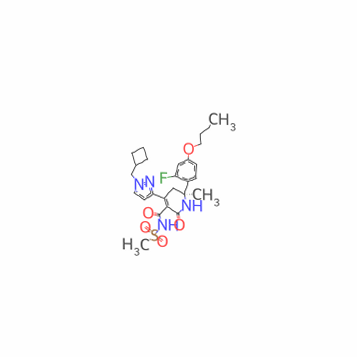 CCCCOc1ccc([C@]2(C)CC(c3ccn(CC4CCC4)n3)=C(C(=O)NS(C)(=O)=O)C(=O)N2)c(F)c1